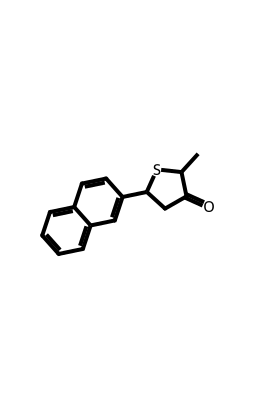 CC1SC(c2ccc3ccccc3c2)CC1=O